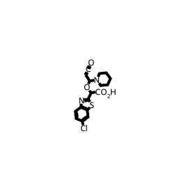 O=C=CC(OC(C(=O)O)c1nc2ccc(Cl)cc2s1)N1CCCCC1